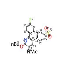 CCCCOc1nc(-c2ccc(F)cc2)c(-c2ccc(S(C)(=O)=O)cc2)cc1NC